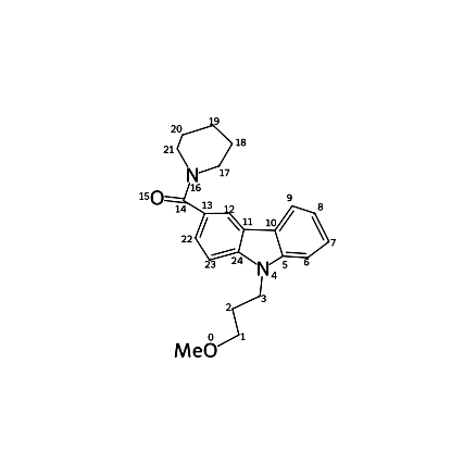 COCCCn1c2ccccc2c2cc(C(=O)N3CCCCC3)ccc21